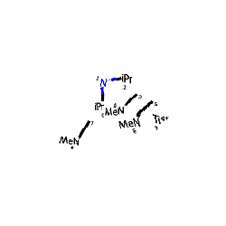 CC(C)[N-]C(C)C.C[N-]C.C[N-]C.C[N-]C.[Ti+4]